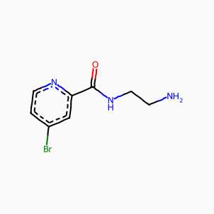 NCCNC(=O)c1cc(Br)ccn1